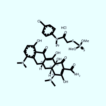 CN(C)c1ccc(O)c2c1C[C@H]1C[C@H]3[C@H](N(C)C)C(O)=C(C(N)=O)C(=O)[C@@]3(O)C(O)=C1C2=O.COP(=S)(OC)SCC(=O)N(c1ccc(Cl)cc1)C(C)C.Cl